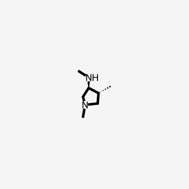 CN[C@@H]1CN(C)C[C@H]1C